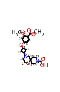 COC(=O)c1ccc(OC2CC(N3CCOC4(CCN(C(=O)O)CC4)C3)C2)cc1OC